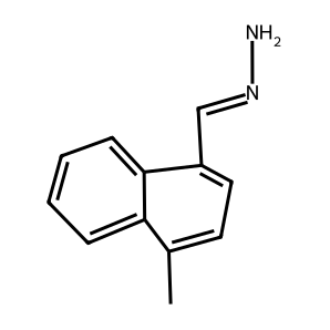 Cc1ccc(C=NN)c2ccccc12